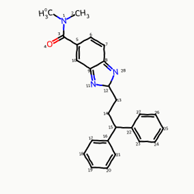 CN(C)C(=O)c1ccc2c(c1)=NC(CCC(c1ccccc1)c1ccccc1)N=2